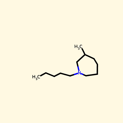 CCCCCN1CCCCC(C)C1